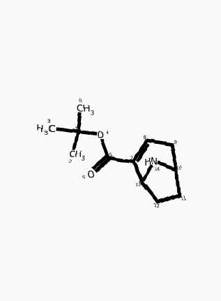 CC(C)(C)OC(=O)C1=CCC2CC[C]1N2